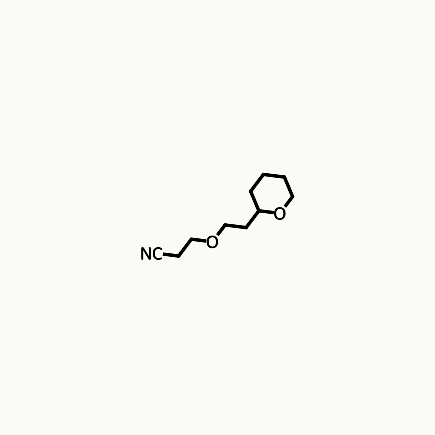 N#CCCOCCC1CCCCO1